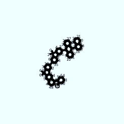 CC1(C)c2ccc(-c3c4ccccc4c(-c4cccc5ccccc45)c4ccccc34)cc2-c2ccc(-c3ccc4c(c3)-c3cc5c(ccc6oc7ccccc7c65)cc3C4(C)C)cc21